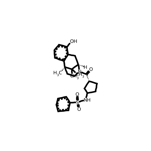 CC1(C)[C@H]2Cc3c(O)cccc3[C@]1(C)CCN2C(=O)[C@@H]1CCC(NS(=O)(=O)c2ccccc2)C1